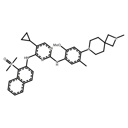 COc1cc(N2CCC3(CC2)CN(C)C3)c(C)cc1Nc1ncc(C2CC2)c(Nc2ccc3ccccc3c2P(C)(C)=O)n1